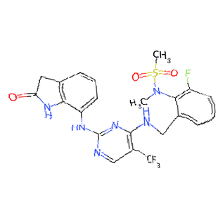 CN(c1c(F)cccc1CNc1nc(Nc2cccc3c2NC(=O)C3)ncc1C(F)(F)F)S(C)(=O)=O